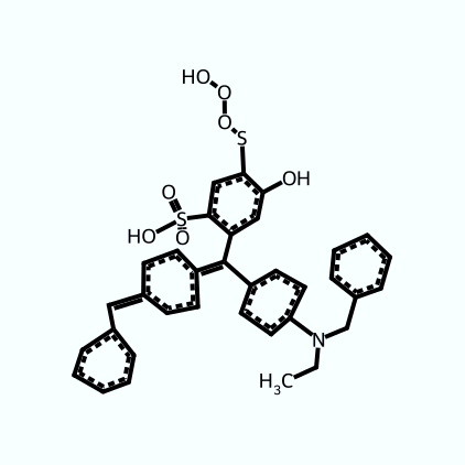 CCN(Cc1ccccc1)c1ccc(C(c2cc(O)c(SOOO)cc2S(=O)(=O)O)=c2ccc(=Cc3ccccc3)cc2)cc1